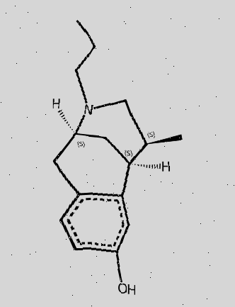 CCCN1C[C@@H](C)[C@@H]2C[C@H]1Cc1ccc(O)cc12